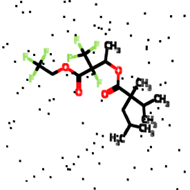 CC(C)CC(C)(C(=O)OC(C)C(F)(C(=O)OCC(F)(F)F)C(F)(F)F)C(C)C